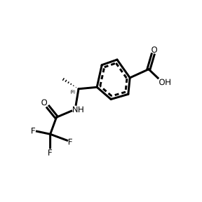 C[C@@H](NC(=O)C(F)(F)F)c1ccc(C(=O)O)cc1